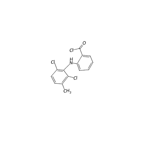 Cc1ccc(Cl)c(Nc2ccccc2C(=O)Cl)c1Cl